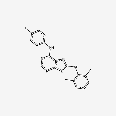 Cc1cccc(C)c1Nc1nc2c(Nc3ccc(I)cc3)ncnc2s1